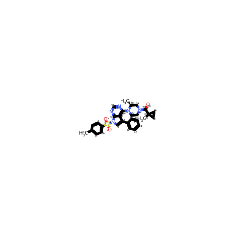 Cc1ccc(S(=O)(=O)n2cc(-c3ccccc3)c3c(N4CCN(C(=O)C5(C)CC5)C[C@@H]4C)ncnc32)cc1